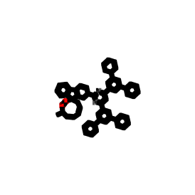 CC1/C=C\C=C/CC2(C3=C(C=CC(c4nc(-c5cc(-c6ccccc6)cc(-c6ccccc6)c5)cc(-c5cc(-c6ccccc6)cc(C6C=CC=CC6)c5)n4)C3)c3ccccc32)c2ccccc21